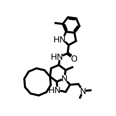 Cc1cccc2c1NC(C(=O)NC1CC3(CCCCCCCCC3)C3NCC(CN(C)C)N3C1C)C2